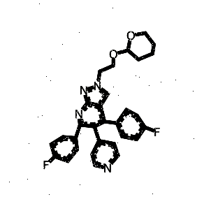 Fc1ccc(-c2nc3nn(CCOC4CCCCO4)cc3c(-c3ccc(F)cc3)c2-c2ccncc2)cc1